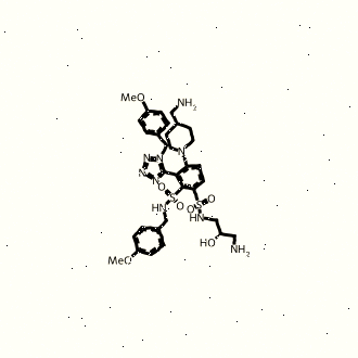 COc1ccc(CNS(=O)(=O)c2c(S(=O)(=O)NC[C@H](O)CN)ccc(N3CCC(CN)CC3)c2-c2nnnn2Cc2ccc(OC)cc2)cc1